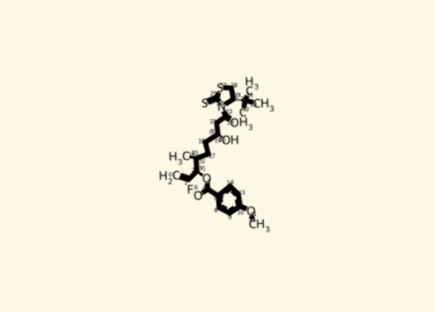 C=C[C@H](OC(OF)c1ccc(OC)cc1)[C@@H](C)CC[C@@H](O)CC(=O)N1C(=S)SC[C@@H]1C(C)(C)C